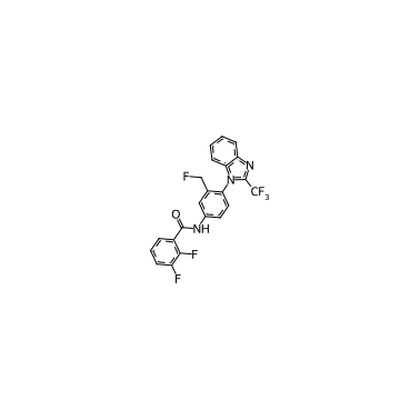 O=C(Nc1ccc(-n2c(C(F)(F)F)nc3ccccc32)c(CF)c1)c1cccc(F)c1F